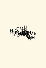 COc1cc2[nH]ncc2cc1NC1NCNc2sc3cc(C(=O)N(C)C[C@H](C)OC)ccc3c21